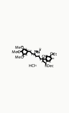 CCCCCCCCCCCCC(C#N)(CCCC(CCc1cc(OC)c(OC)c(OC)c1)N=NC)c1cccc(OCC)c1.Cl